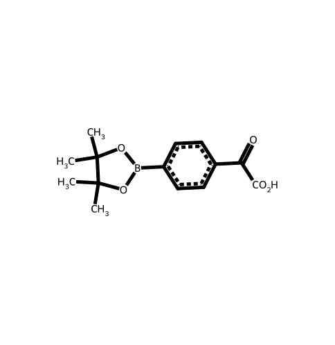 CC1(C)OB(c2ccc(C(=O)C(=O)O)cc2)OC1(C)C